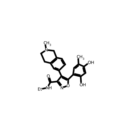 CCNC(=O)c1noc(-c2cc(C)c(O)cc2O)c1-c1ccc2c(c1)CCN(C)C2